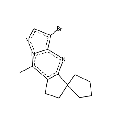 Cc1c2c(nc3c(Br)cnn13)C1(CCCC1)CC2